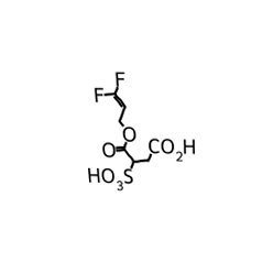 O=C(O)CC(C(=O)OCC=C(F)F)S(=O)(=O)O